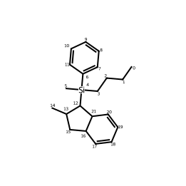 CCCC[Si](C)(c1ccccc1)C1C(C)CC2C=CC=CC21